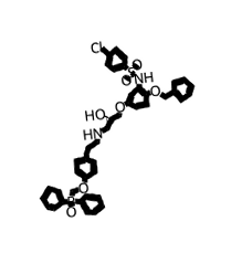 O=P(COc1ccc(CCNC[C@H](O)COc2ccc(OCc3ccccc3)c(NS(=O)(=O)c3ccc(Cl)cc3)c2)cc1)(c1ccccc1)c1ccccc1